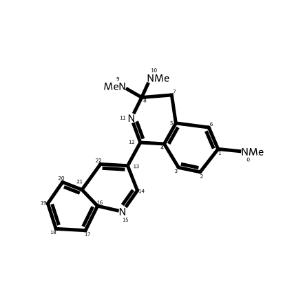 CNc1ccc2c(c1)CC(NC)(NC)N=C2c1cnc2ccccc2c1